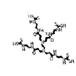 O=C(CCN(CCC(=O)NCCNC(=S)S)CCN(CCC(=O)NCCNC(=S)S)CCC(=O)NCCNC(=S)S)NCCNC(=S)S